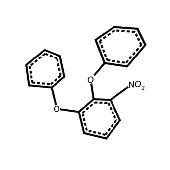 O=[N+]([O-])c1cccc(Oc2ccccc2)c1Oc1ccccc1